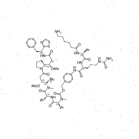 CC[C@H](C)[C@@H]([C@@H](CC(=O)N1CCC[C@H]1[C@H](OC)[C@@H](C)C(=O)N[C@@H](Cc1ccccc1)c1nccs1)OC)N(C)C(=O)[C@@H](NC(=O)[C@H](C(C)C)N(C)C(=O)OCc1ccc(NC(=O)[C@H](CCCNC(N)=O)NC(=O)[C@@H](NC(=O)CCCCCN)C(C)C)cc1)C(C)C